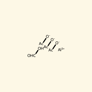 CC(=O)[O-].CC(=O)[O-].CC(=O)[O-].O=CO.[Al+3]